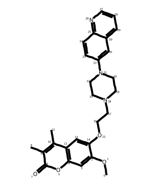 COc1cc2oc(=O)c(C)c(C)c2cc1OCCN1CCN(c2ccc3ncccc3c2)CC1